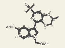 COCn1cc(-c2nc(P(C)(C)=O)cc3c2OCC(C)O3)c2cc(NC(C)=O)ncc21